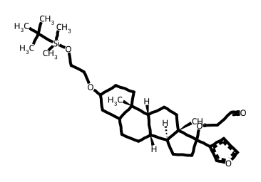 CC(C)(C)[Si](C)(C)OCCOC1CC[C@@]2(C)C(CC[C@@H]3[C@H]2CC[C@@]2(C)[C@H]3CCC2(OCC=O)c2ccoc2)C1